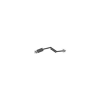 N#CC=CBr